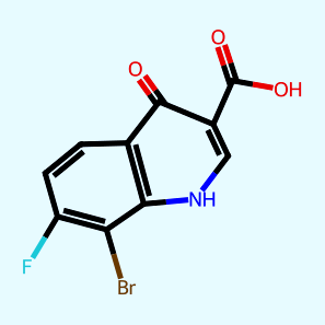 O=C(O)c1c[nH]c2c(Br)c(F)ccc2c1=O